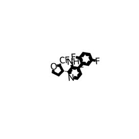 Nc1c(-c2cc(F)ccc2F)ccnc1[C@@H]1CCO[C@H]1C(F)(F)F